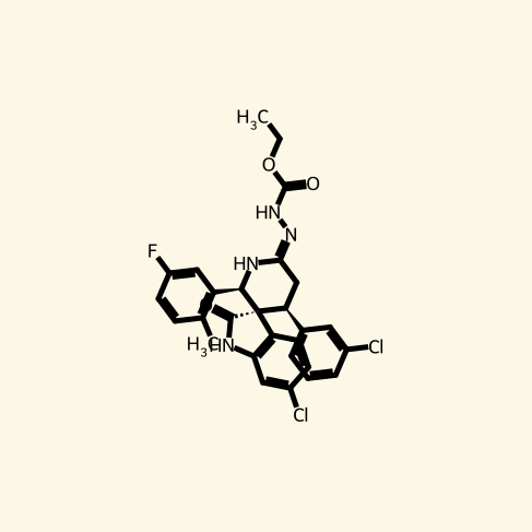 CCOC(=O)N/N=C1/C[C@@H](c2cccc(Cl)c2)[C@]2(C(=O)Nc3cc(Cl)ccc32)[C@@H](c2cc(F)ccc2C)N1